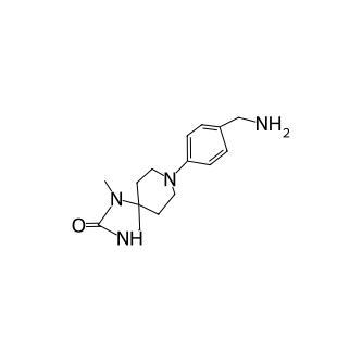 CN1C(=O)NCC12CCN(c1ccc(CN)cc1)CC2